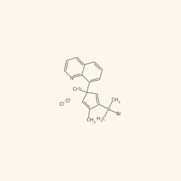 CC1=C[C]([Cr+2])(c2cccc3cccnc23)C=C1[Si](C)(C)Br.[Cl-].[Cl-]